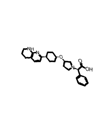 O=C(O)[C@@H](c1ccccc1)N1CC[C@@H](O[C@H]2CC[C@H](c3ccc4c(n3)NCCC4)CC2)C1